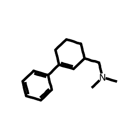 CN(C)CC1C=C(c2ccccc2)CCC1